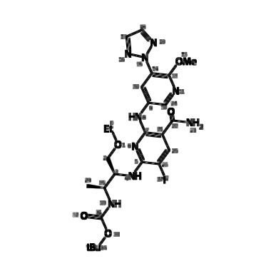 CCOC[C@@H](Nc1nc(Nc2cnc(OC)c(-n3nccn3)c2)c(C(N)=O)cc1F)[C@H](C)NC(=O)OC(C)(C)C